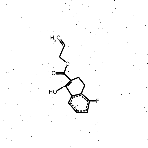 C=CCOC(=O)C1=C(O)c2cccc(F)c2CC1